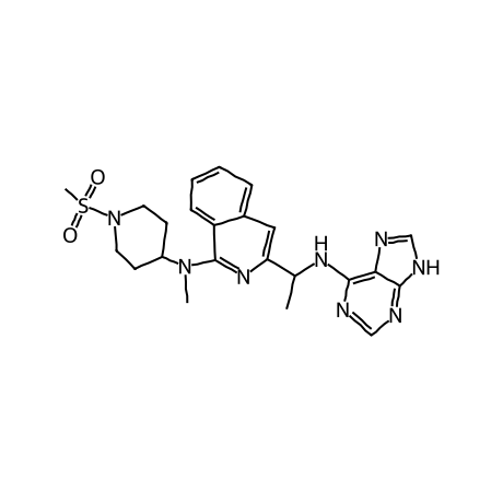 CC(Nc1ncnc2[nH]cnc12)c1cc2ccccc2c(N(C)C2CCN(S(C)(=O)=O)CC2)n1